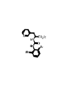 CCOC(=O)C(Cc1cccnc1)NC(=O)Nc1c(C(C)C)cccc1C(C)C